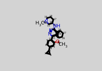 COc1cc(C2CC2)ccc1-c1nnc(N[C@@H]2CCCN(C)C2)c2c1C1CCC2CC1